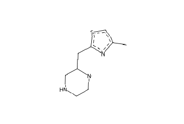 Cc1csc(CC2CNCC[N]2)n1